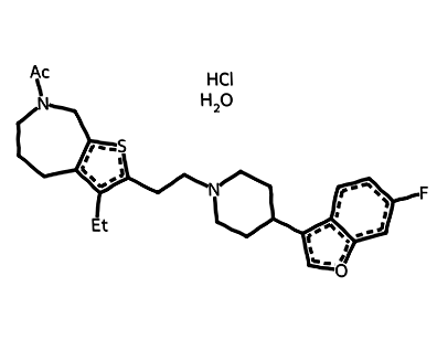 CCc1c(CCN2CCC(c3coc4cc(F)ccc34)CC2)sc2c1CCCN(C(C)=O)C2.Cl.O